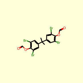 CC(C)(c1cc(Br)c(OC=O)c(Br)c1)c1cc(Br)c(OC=O)c(Br)c1